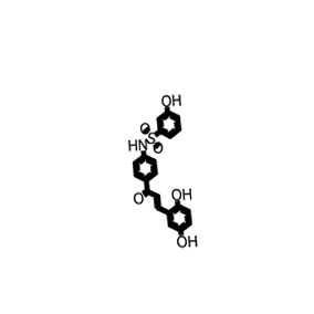 O=C(/C=C/c1cc(O)ccc1O)c1ccc(NS(=O)(=O)c2cccc(O)c2)cc1